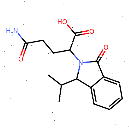 CC(C)C1c2ccccc2C(=O)N1C(CCC(N)=O)C(=O)O